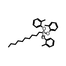 CCCCCCCCCC[PH](Oc1ccccc1C)(Oc1ccccc1C)Oc1ccccc1C